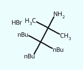 Br.CCCCC(CCCC)(CCCC)C(C)(C)N